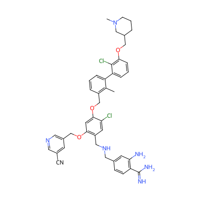 Cc1c(COc2cc(OCc3cncc(C#N)c3)c(CNCc3ccc(C(=N)N)c(N)c3)cc2Cl)cccc1-c1cccc(OCC2CCCN(C)C2)c1Cl